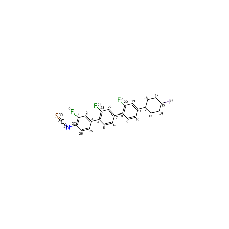 Fc1cc(-c2ccc(-c3ccc(C4CCC(I)CC4)cc3F)cc2F)ccc1N=C=S